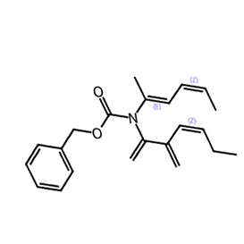 C=C(/C=C\CC)C(=C)N(C(=O)OCc1ccccc1)/C(C)=C/C=C\C